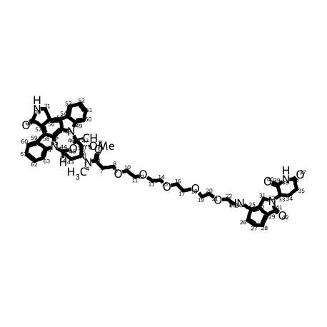 CO[C@@H]1[C@H](N(C)C(=O)CCOCCOCCOCCOCCOCCNc2cccc3c2CN(C2CCC(=O)NC2=O)C3=O)C[C@H]2O[C@]1(C)n1c3ccccc3c3c4c(c5c6ccccc6n2c5c31)C(=O)NC4